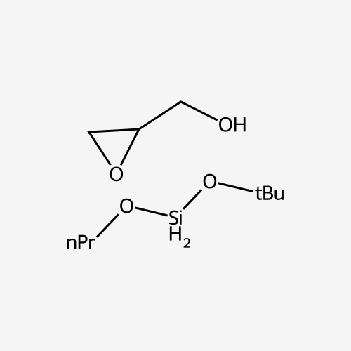 CCCO[SiH2]OC(C)(C)C.OCC1CO1